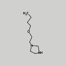 CCCCOCCN1CCNC1